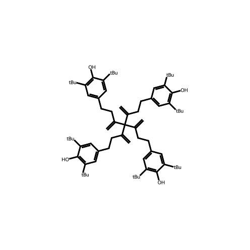 C=C(CCc1cc(C(C)(C)C)c(O)c(C(C)(C)C)c1)C(C(=C)CCc1cc(C(C)(C)C)c(O)c(C(C)(C)C)c1)(C(=C)CCc1cc(C(C)(C)C)c(O)c(C(C)(C)C)c1)C(=C)CCc1cc(C(C)(C)C)c(O)c(C(C)(C)C)c1